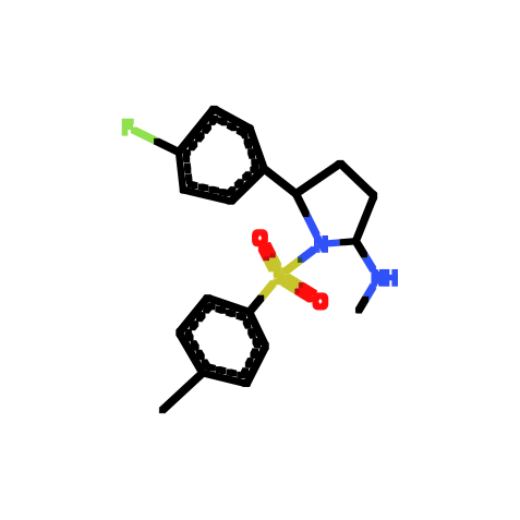 CNC1CCC(c2ccc(F)cc2)N1S(=O)(=O)c1ccc(C)cc1